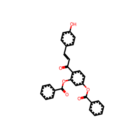 O=C(Oc1ccc(C(=O)/C=C/c2ccc(O)cc2)c(OC(=O)c2ccccc2)c1)c1ccccc1